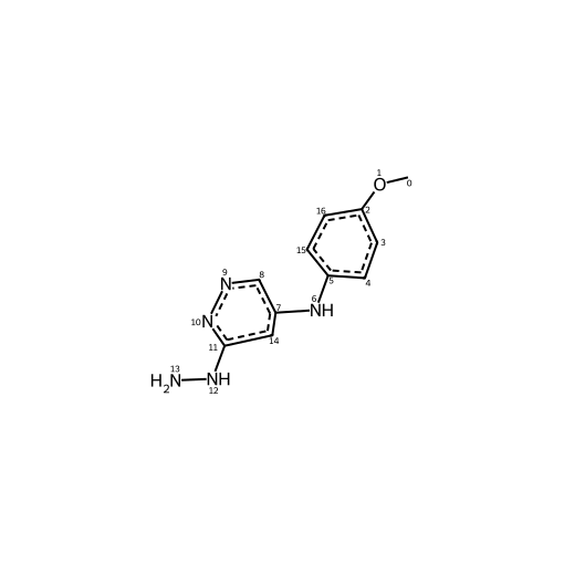 COc1ccc(Nc2cnnc(NN)c2)cc1